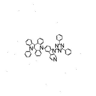 c1ccc(-c2nc(-c3ccccc3)nc(-n3c4ccc(N5c6ccccc6-c6c(n(-c7ccccc7)c7ccccc67)-c6ccccc65)cc4c4ccncc43)n2)cc1